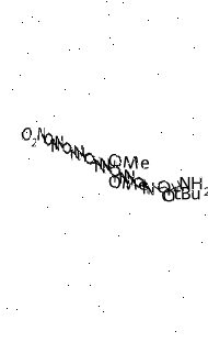 COc1cc(/N=N/c2ccc(N(C)CCOC(=O)C(C)(C(C)(C)C)C(C)(C)N)cc2)c(OC)cc1/N=N/c1ccc(/N=N/c2ccc(/N=N/c3ccc([N+](=O)[O-])cc3)cc2)cc1